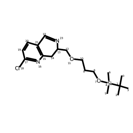 CC(C)(C)[Si](C)(C)OCCCOCC1Cc2nc(Cl)ccc2C=N1